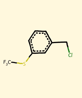 FC(F)(F)Sc1cccc(CCl)c1